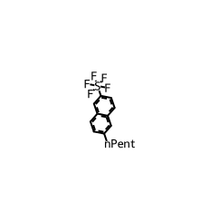 CCCCCc1ccc2cc(S(F)(F)(F)(F)F)ccc2c1